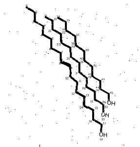 CCCCCCCCC=CCCCCCCCCO.CCCCCCCCCCCCCCO.CCCCCCCCCCCCO